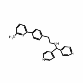 Nc1cccc(-c2ccc(CCNC(c3ccncc3)c3ccncc3)cc2)n1